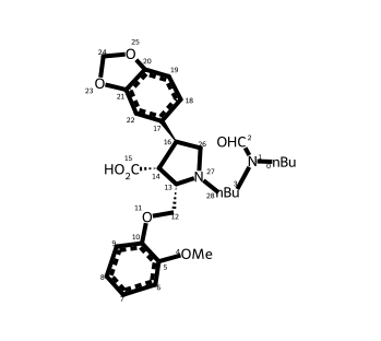 CCCCN(C=O)CCCC.COc1ccccc1OC[C@@H]1[C@H](C(=O)O)[C@@H](c2ccc3c(c2)OCO3)CN1C